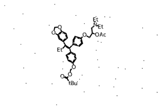 CCC(=C(c1ccc(OCOC(=O)C(C)(C)C)cc1)c1ccc(OCC(CN(CC)CC)OC(C)=O)cc1)c1ccc2c(c1)OCO2